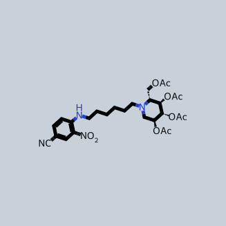 CC(=O)OC[C@@H]1[C@@H](OC(C)=O)[C@H](OC(C)=O)[C@@H](OC(C)=O)CN1CCCCCCNc1ccc(C#N)cc1[N+](=O)[O-]